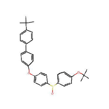 CC(C)(C)Oc1ccc([S+]([O-])c2ccc(Oc3ccc(-c4ccc(C(C)(C)C)cc4)cc3)cc2)cc1